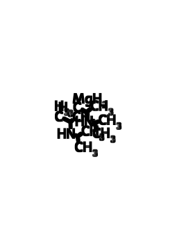 CC(C)NC(C)C.CC(C)NC(C)C.[MgH2]